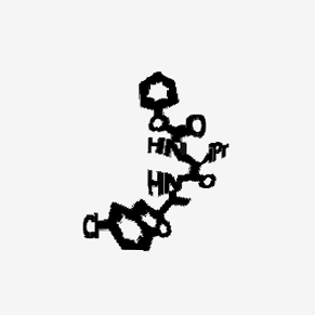 CC(NC(=O)[C@@H](NC(=O)Oc1ccccc1)C(C)C)c1cc2cc(Cl)ccc2o1